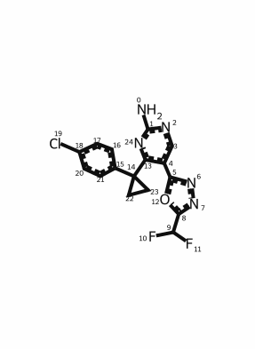 Nc1ncc(-c2nnc(C(F)F)o2)c(C2(c3ccc(Cl)cc3)CC2)n1